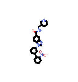 O=C(NCc1cccnc1)c1ccc2c(c1)ncn2-c1cccc(-c2ccccc2[N+](=O)[O-])c1